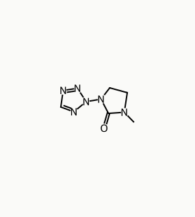 CN1CCN(n2ncnn2)C1=O